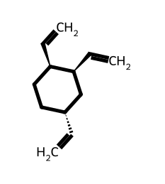 C=C[C@@H]1CC[C@@H](C=C)[C@@H](C=C)C1